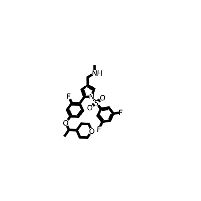 CNCc1cc(-c2ccc(OC(C)C3CCOCC3)cc2F)n(S(=O)(=O)c2cc(F)cc(F)c2)c1